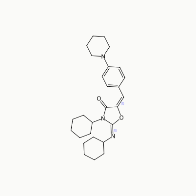 O=C1/C(=C\c2ccc(N3CCCCC3)cc2)O/C(=N/C2CCCCC2)N1C1CCCCC1